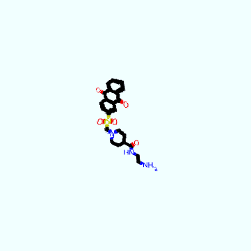 NCCNC(=O)C1CCN(CS(=O)(=O)c2ccc3c(c2)C(=O)c2ccccc2C3=O)CC1